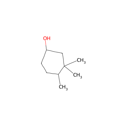 CC1CCC(O)CC1(C)C